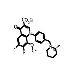 CCOC(=O)c1cn(-c2ccc(CN3CCCC[C@@H]3C)cc2)c2c(OC(F)(F)F)c(F)c(F)cc2c1=O